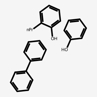 CCCc1ccccc1O.Oc1ccccc1.c1ccc(-c2ccccc2)cc1